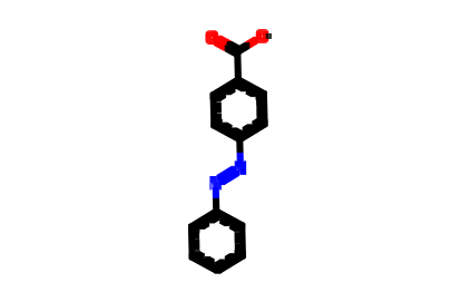 [O]C(=O)c1ccc(N=Nc2ccccc2)cc1